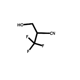 N#CC(CO)C(F)(F)F